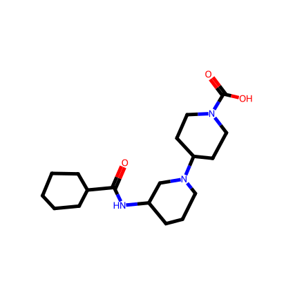 O=C(NC1CCCN(C2CCN(C(=O)O)CC2)C1)C1CCCCC1